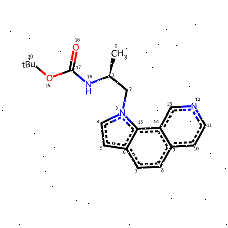 C[C@@H](Cn1ccc2ccc3ccncc3c21)NC(=O)OC(C)(C)C